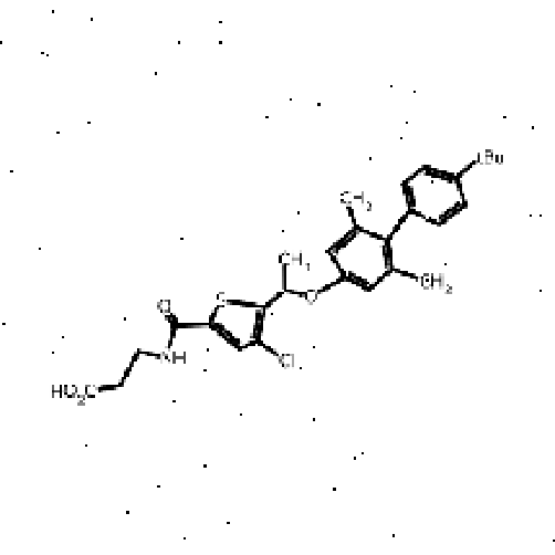 Cc1cc(OC(C)c2sc(C(=O)NCCC(=O)O)cc2Cl)cc(C)c1-c1ccc(C(C)(C)C)cc1